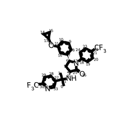 CC(C)(N[C@@H]1C[C@H](c2cccc(OC3CC3)c2)N(c2ccc(C(F)(F)F)cc2)C1=O)c1ccc(C(F)(F)F)nc1